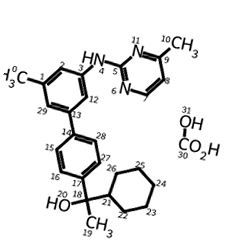 Cc1cc(Nc2nccc(C)n2)cc(-c2ccc(C(C)(O)C3CCCCC3)cc2)c1.O=C(O)O